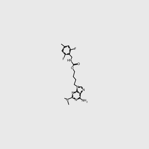 Cc1cc(F)c(CNC(=O)OCCCCn2cnc3c(N)nc(N(C)C)nc32)c(F)c1